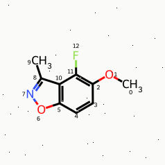 COc1ccc2onc(C)c2c1F